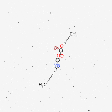 CCCCCCCCCCc1cnc(-c2ccc(OC(=O)c3ccc(OCCCCCCCC)c(Br)c3)cc2)nc1